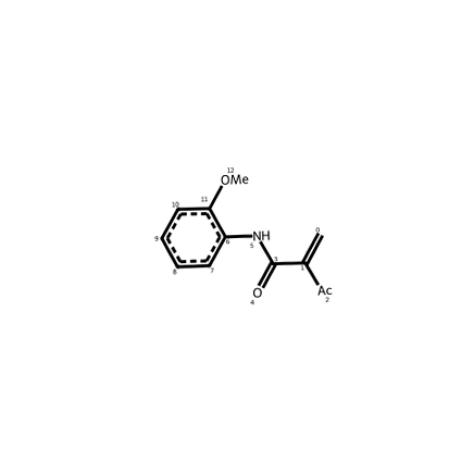 C=C(C(C)=O)C(=O)Nc1ccccc1OC